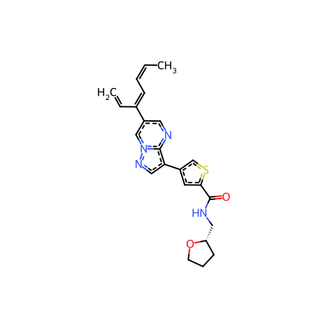 C=C/C(=C\C=C/C)c1cnc2c(-c3csc(C(=O)NC[C@@H]4CCCO4)c3)cnn2c1